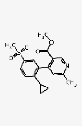 COC(=O)c1cnc(C)cc1-c1cc(S(C)(=O)=O)ccc1C1CC1